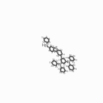 c1ccc(Nc2ccc3c(c2)sc2ccc(-c4cc(N(c5ccccc5)c5ccccc5)cc(N(c5ccccc5)c5ccccc5)c4)cc23)cc1